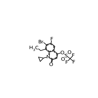 CCc1c(Br)c(F)cc2c(OS(=O)(=O)C(F)(F)F)cc(=O)n(C3CC3)c12